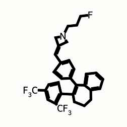 FCCCN1CC(=Cc2ccc(C3=C(c4ccc(C(F)(F)F)cc4C(F)(F)F)CCCc4ccccc43)cc2)C1